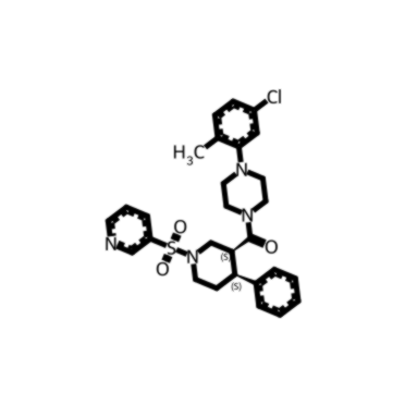 Cc1ccc(Cl)cc1N1CCN(C(=O)[C@@H]2CN(S(=O)(=O)c3cccnc3)CC[C@@H]2c2ccccc2)CC1